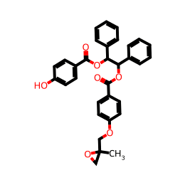 CC1(COc2ccc(C(=O)OC(c3ccccc3)C(OC(=O)c3ccc(O)cc3)c3ccccc3)cc2)CO1